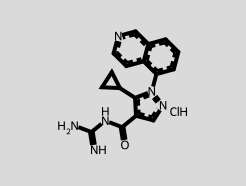 Cl.N=C(N)NC(=O)c1cnn(-c2cccc3cnccc23)c1C1CC1